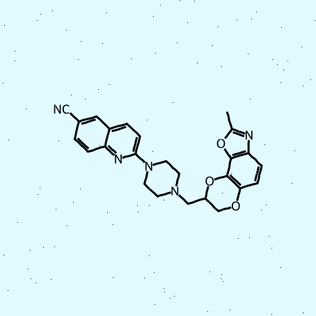 Cc1nc2ccc3c(c2o1)OC(CN1CCN(c2ccc4cc(C#N)ccc4n2)CC1)CO3